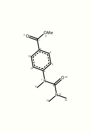 COC(=O)c1ccc(N(C)C(=O)N(C)C)cc1